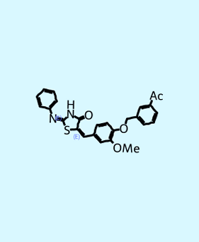 COc1cc(/C=C2/S/C(=N/c3ccccc3)NC2=O)ccc1OCc1cccc(C(C)=O)c1